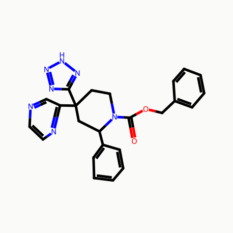 O=C(OCc1ccccc1)N1CCC(c2cnccn2)(c2nn[nH]n2)CC1c1ccccc1